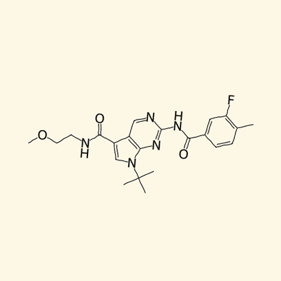 COCCNC(=O)c1cn(C(C)(C)C)c2nc(NC(=O)c3ccc(C)c(F)c3)ncc12